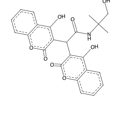 CC(C)(CO)NC(=O)C(c1c(O)c2ccccc2oc1=O)c1c(O)c2ccccc2oc1=O